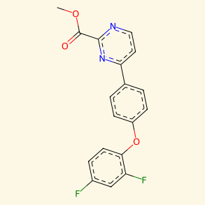 COC(=O)c1nccc(-c2ccc(Oc3ccc(F)cc3F)cc2)n1